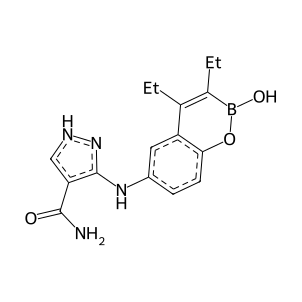 CCC1=C(CC)c2cc(Nc3n[nH]cc3C(N)=O)ccc2OB1O